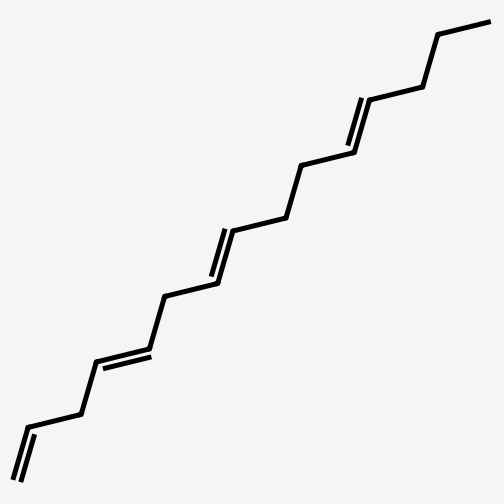 C=CCC=CCC=CCCC=CCCC